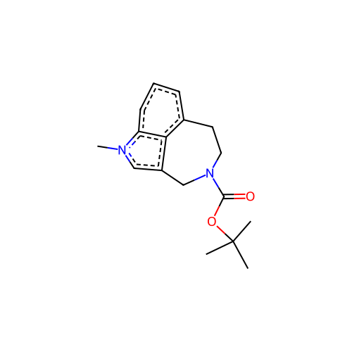 Cn1cc2c3c(cccc31)CCN(C(=O)OC(C)(C)C)C2